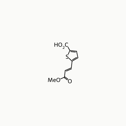 COC(=O)C=Cc1ccc(C(=O)O)s1